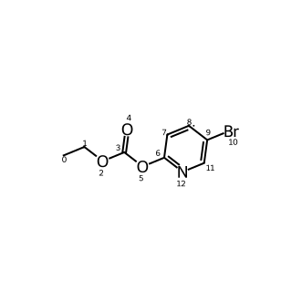 CCOC(=O)Oc1c[c]c(Br)cn1